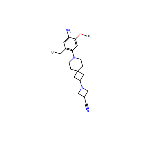 CCc1cc(N)c(OC)cc1N1CCC2(CC1)CC(N1CC(C#N)C1)C2